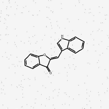 O=C1/C(=C/c2c[nH]c3ccccc23)Oc2ccccc21